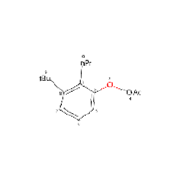 CCCc1c(OOC(C)=O)cccc1C(C)(C)C